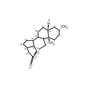 C[C@@H]1CC[C@]2(C)C3CC[C@]45C=CC(=O)CC4CCC5C3CC[C@@H]2C1